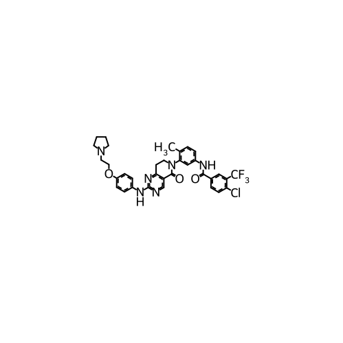 Cc1ccc(NC(=O)c2ccc(Cl)c(C(F)(F)F)c2)cc1N1CCc2nc(Nc3ccc(OCCN4CCCC4)cc3)ncc2C1=O